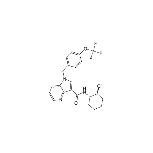 O=C(N[C@H]1CCCC[C@@H]1O)c1cn(Cc2ccc(OC(F)(F)F)cc2)c2cccnc12